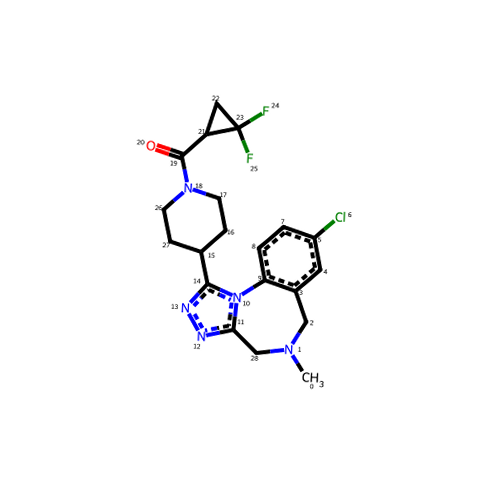 CN1Cc2cc(Cl)ccc2-n2c(nnc2C2CCN(C(=O)C3CC3(F)F)CC2)C1